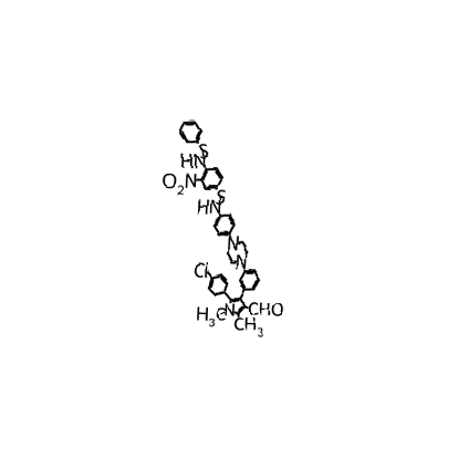 Cc1c(C=O)c(-c2cccc(N3CCN(c4ccc(NSc5ccc(NSc6ccccc6)c([N+](=O)[O-])c5)cc4)CC3)c2)c(-c2ccc(Cl)cc2)n1C